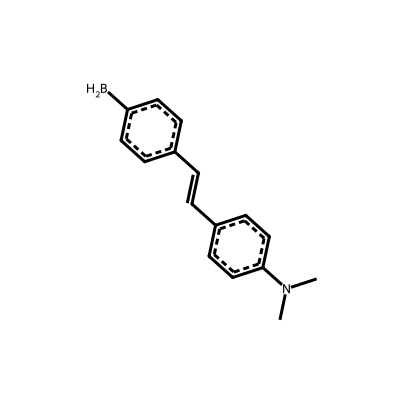 Bc1ccc(/C=C/c2ccc(N(C)C)cc2)cc1